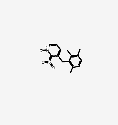 Cc1ccc(C)c(CC2=CC=C[NH+]([O-])C2=S(=O)=O)c1C